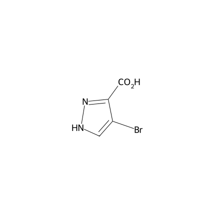 O=C(O)c1n[nH]cc1Br